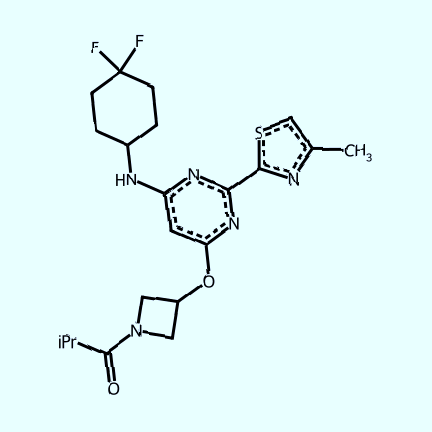 Cc1csc(-c2nc(NC3CCC(F)(F)CC3)cc(OC3CN(C(=O)C(C)C)C3)n2)n1